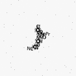 CCCn1c(=O)[nH]/c(=N\c2ccc(Oc3ccc(C#N)cn3)cc2)n(Cc2ccc(Cl)cc2)c1=O